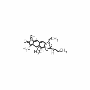 CCCNC(=O)O[C@H]1[C@H](SCC)C=C2C=C3C(=C(C)C(=O)N3C)C[C@]2(C)[C@H]1C